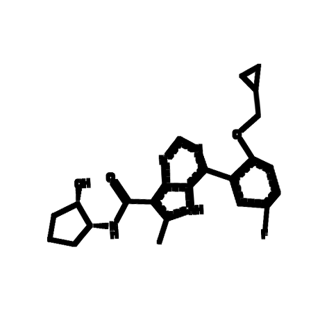 Cc1[nH]c2c(-c3cc(F)ccc3OCC3CC3)ncnc2c1C(=O)N[C@@H]1CCC[C@@H]1O